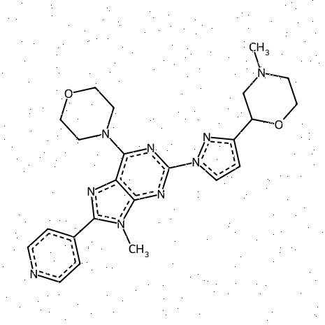 CN1CCOC(c2ccn(-c3nc(N4CCOCC4)c4nc(-c5ccncc5)n(C)c4n3)n2)C1